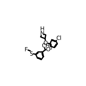 CC(Oc1ccc(Cl)cc1OC1CNC1)c1cccc(SCF)c1